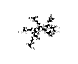 N=C(N)NCCC[C@H](NC(=O)[C@H](CCCNC(=N)N)NC(=O)[C@H](CCCNC(=N)N)NC(=O)[C@H](Cc1c[nH]cn1)NC(=O)[C@H](Cc1c[nH]cn1)NC(=O)[C@@H](N)CO)C(=O)O